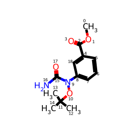 COC(=O)c1cccc(N(OC(C)(C)C)C(N)=O)c1